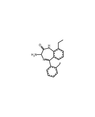 CCc1cccc2c1NC(=O)C(N)N=C2c1ccccc1F